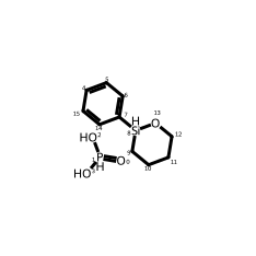 O=[PH](O)O.c1ccc([SiH]2CCCCO2)cc1